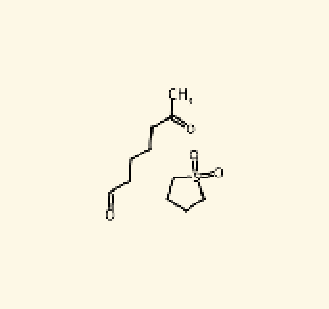 CC(=O)CCCCC=O.O=S1(=O)CCCC1